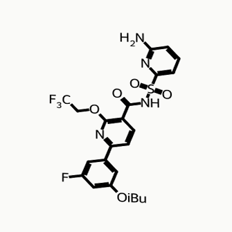 CC(C)COc1cc(F)cc(-c2ccc(C(=O)NS(=O)(=O)c3cccc(N)n3)c(OCC(F)(F)F)n2)c1